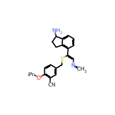 C=N/C=C(\SCc1ccc(OC(C)C)c(C#N)c1)c1cccc2c1CCC2N